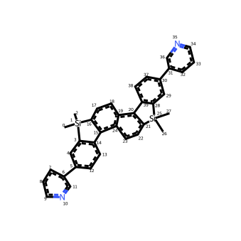 C[Si]1(C)c2cc(-c3cccnc3)ccc2-c2c1ccc1c3c(ccc21)[Si](C)(C)c1cc(-c2cccnc2)ccc1-3